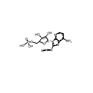 [N-]=[N+]=Nc1nc2c(N)ccnc2n1[C@@H]1OC(COP(=O)(O)O)[C@@H](O)[C@H]1O